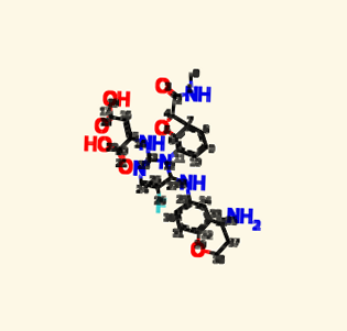 CNC(=O)C1Oc2c1cccc2N1C(N/C(=C/C(=O)O)C(=O)O)=NC=C(F)C1Nc1ccc2c(c1)C(N)CCO2